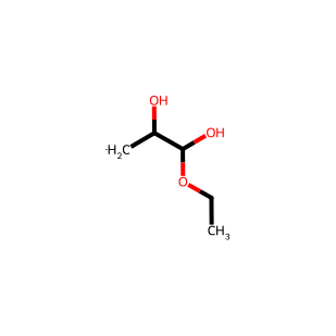 [CH2]C(O)C(O)OCC